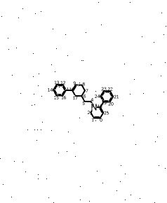 C1=CCN(CCC2CCC=C(c3ccccc3)C2)C(c2ccccc2)=C1